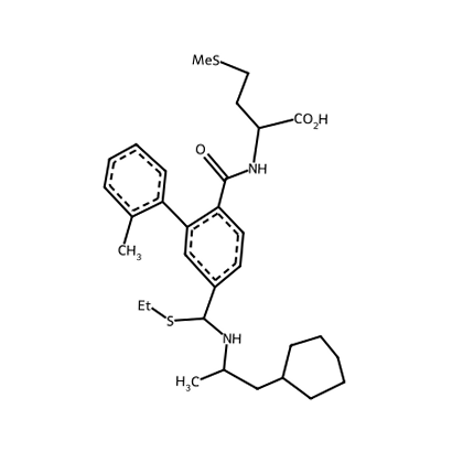 CCSC(NC(C)CC1CCCCC1)c1ccc(C(=O)NC(CCSC)C(=O)O)c(-c2ccccc2C)c1